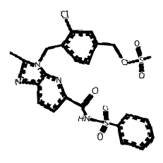 Cc1nc2ccc(C(=O)NS(=O)(=O)c3ccccc3)nc2n1Cc1ccc(COS(C)(=O)=O)cc1Cl